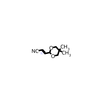 CC1(C)COC(/C=C/C#N)OC1